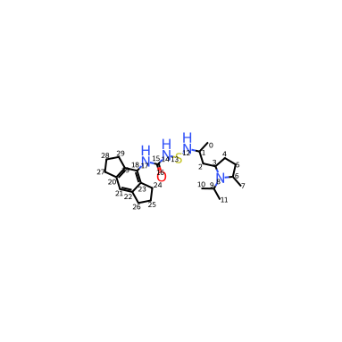 CC(CC1CCC(C)N1C(C)C)NSNC(=O)Nc1c2c(cc3c1CCC3)CCC2